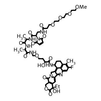 CC[C@@]1(O)C(=O)OCc2c1cc1n(c2=O)Cc2c-1nc1cc(F)c(C)c3c1c2[C@@H](NC(=O)[C@H](O)CCOCNC(=O)[C@H](C)NC(=O)[C@H](C)NC(=O)C(CNC(=O)CCOCCOCCOCCOC)N1C(=O)C=CC1=O)CC3